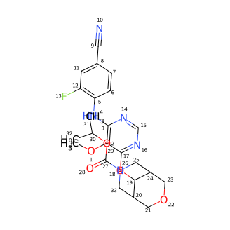 COc1c(Nc2ccc(C#N)cc2F)ncnc1OC1C2COCC1CN(C(=O)OC(C)C)C2